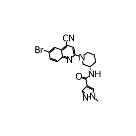 Cn1cc(C(=O)N[C@H]2CCCN(c3cc(C#N)c4cc(Br)ccc4n3)C2)cn1